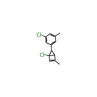 CC1=CC2(Cl)C1C2c1cc(C)cc(Cl)c1